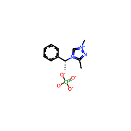 Cc1n[n+](C)cn1[C@H](C)c1ccccc1.[O-][Cl+3]([O-])([O-])[O-]